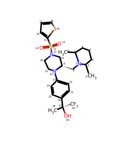 CC1CCCC(C)N1C[C@H]1CN(S(=O)(=O)c2cccs2)CCN1c1ccc([C@](C)(O)C(F)(F)F)cc1